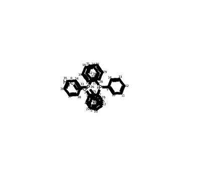 CCO[C]12[CH]3[CH]4[CH]5[C]1(P(c1ccccc1)c1ccccc1)[Fe]43521678[CH]2[CH]1[CH]6[C]7(P(c1ccccc1)c1ccccc1)[CH]28